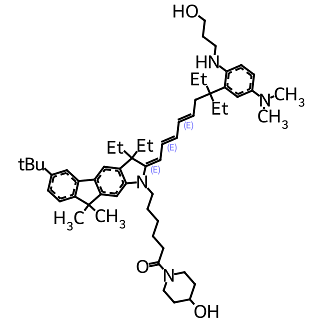 CCC(CC)(C/C=C/C=C/C=C1/N(CCCCCC(=O)N2CCC(O)CC2)c2cc3c(cc2C1(CC)CC)-c1cc(C(C)(C)C)ccc1C3(C)C)c1cc(N(C)C)ccc1NCCCO